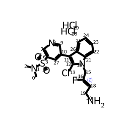 CN(C)S(=O)(=O)c1cncc(-c2c(Cl)n(C/C(F)=C/CN)c3ccccc23)c1.Cl.Cl